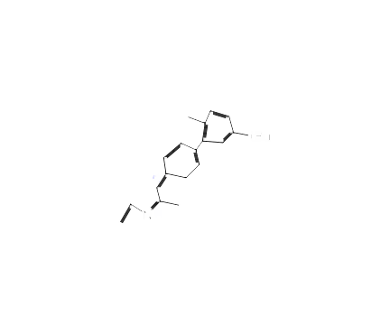 C=C/N=C(C)\C=C1\C=CC(c2cc(C(C)(C)C)ccc2C)=CC1